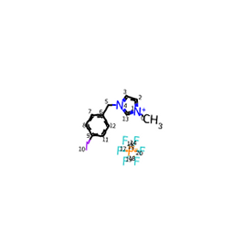 C[n+]1ccn(Cc2ccc(I)cc2)c1.F[P-](F)(F)(F)(F)F